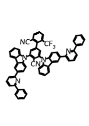 N#Cc1cccc(C(F)(F)F)c1-c1cc(-n2c3ccccc3c3cc(-c4cccc(-c5ccccc5)n4)ccc32)c(C#N)c(-n2c3ccccc3c3cc(-c4cccc(-c5ccccc5)n4)ccc32)c1